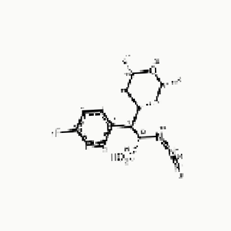 C[C@@H]1C[C@H]([C@H](c2ccc(F)cc2)[C@H](N=[N+]=[N-])C(=O)O)C[C@H](C)O1